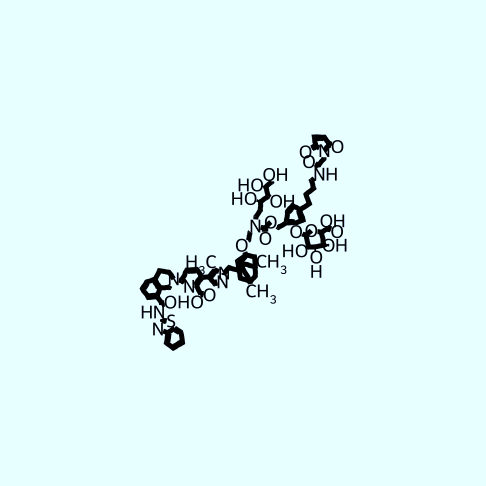 Cc1c(-c2ccc(N3CCc4cccc(C(=O)Nc5nc6ccccc6s5)c4C3)nc2C(=O)O)cnn1CC12CC3(C)CC(C)(C1)CC(OCCN(CC[C@@H](O)C(O)[C@H](O)CO)C(=O)OCc1ccc(CCCCNC(=O)CN4C(=O)C=CC4=O)cc1OC1OC(C(=O)O)[C@@H](O)[C@H](O)[C@H]1O)(C3)C2